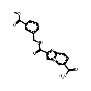 COC(=O)c1cccc(CNC(=O)c2cn3cc(C(N)=O)ccc3n2)c1